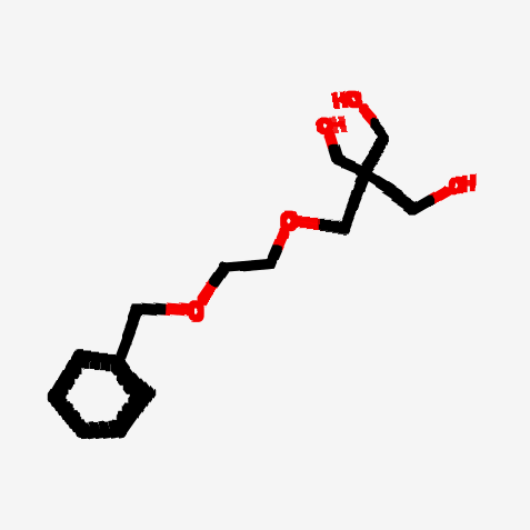 OCC(CO)(CO)COCCOCc1ccccc1